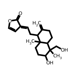 C=C1CCC2C(C)(CO)C(O)CCC2(C)C1CC=C1C=COC1=O